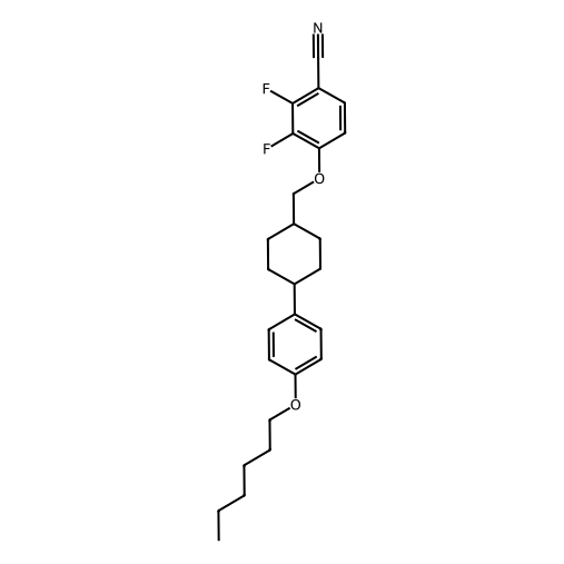 CCCCCCOc1ccc(C2CCC(COc3ccc(C#N)c(F)c3F)CC2)cc1